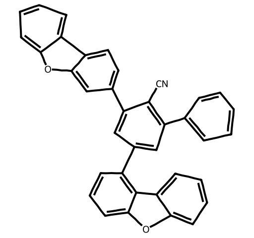 N#Cc1c(-c2ccccc2)cc(-c2cccc3oc4ccccc4c23)cc1-c1ccc2c(c1)oc1ccccc12